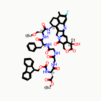 CC[C@@]1(O)C(=O)OCc2c1cc1n(c2=O)Cc2c-1nc1cc(F)c(C)c3c1c2[C@@H](NC(=O)[C@H](COC(C)(C)C)NC(=O)[C@H](Cc1ccccc1)NC(=O)CNC(=O)CNC(=O)[C@H](CC(=O)OC(C)(C)C)NC(=O)OCC1c2ccccc2-c2ccccc21)CC3